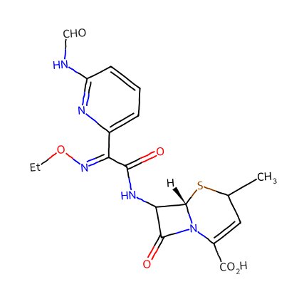 CCON=C(C(=O)NC1C(=O)N2C(C(=O)O)=CC(C)S[C@@H]12)c1cccc(NC=O)n1